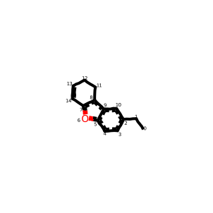 CCc1ccc2oc3c(c2c1)CCC=C3